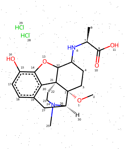 CO[C@@]12CCC(N[C@@H](C)C(=O)O)C3Oc4c(O)ccc5c4[C@@]31CCN(C)[C@@H]2C5.Cl.Cl